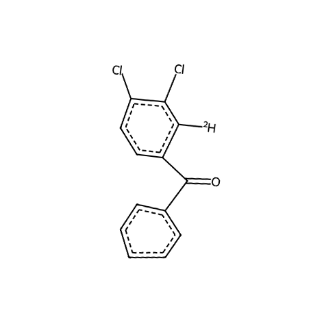 [2H]c1c(C(=O)c2ccccc2)ccc(Cl)c1Cl